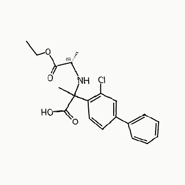 CCOC(=O)[C@H](C)NC(C)(C(=O)O)c1ccc(-c2ccccc2)cc1Cl